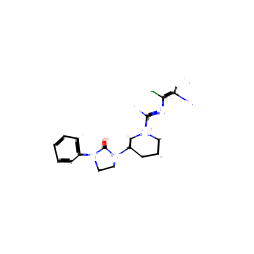 N#C/C(N)=C(Cl)/N=C(\N)N1CCCC(N2CCN(c3ccccc3)C2=O)C1